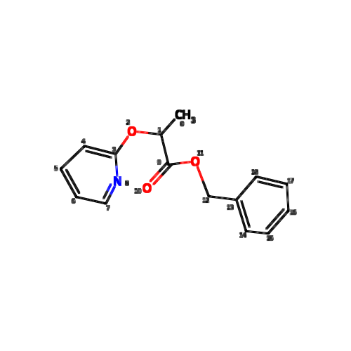 CC(Oc1ccccn1)C(=O)OCc1ccccc1